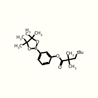 CC(C)(C)CC(C)(C)C(=O)Oc1cccc(B2OC(C)(C)C(C)(C)O2)c1